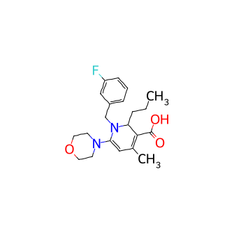 CCCC1C(C(=O)O)=C(C)C=C(N2CCOCC2)N1Cc1cccc(F)c1